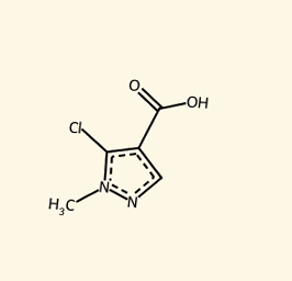 Cn1ncc(C(=O)O)c1Cl